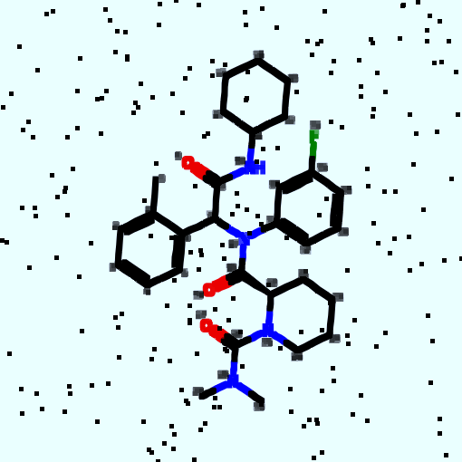 Cc1ccccc1C(C(=O)NC1CCCCC1)N(C(=O)[C@H]1CCCCN1C(=O)N(C)C)c1cccc(F)c1